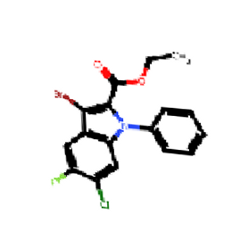 CCOC(=O)c1c(Br)c2cc(F)c(Cl)cc2n1-c1ccccc1